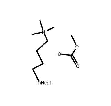 CCCCCCCCCCC[N+](C)(C)C.COC(=O)[O-]